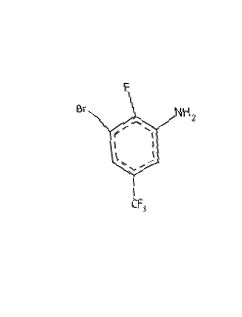 Nc1cc(C(F)(F)F)cc(Br)c1F